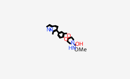 CONC(O)N1CCC2(CC1)OCc1cc(-c3ccc4ccnn4c3C)ccc1O2